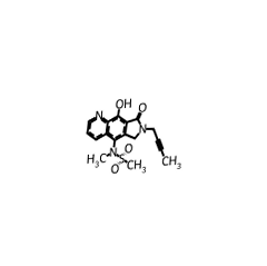 CC#CCN1Cc2c(c(O)c3ncccc3c2N(C)S(C)(=O)=O)C1=O